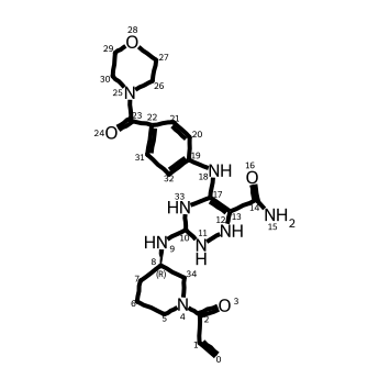 C=CC(=O)N1CCC[C@@H](NC2NNC(C(N)=O)=C(Nc3ccc(C(=O)N4CCOCC4)cc3)N2)C1